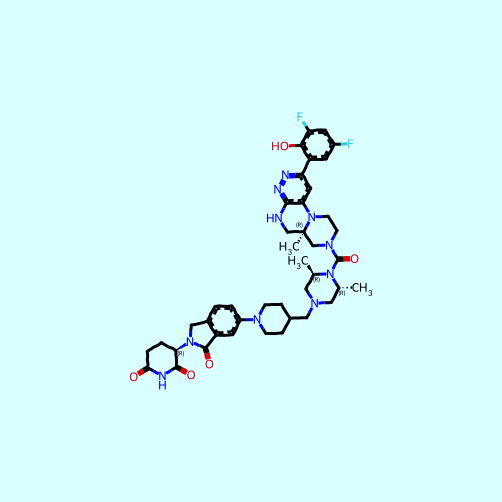 C[C@@H]1CN(CC2CCN(c3ccc4c(c3)C(=O)N([C@@H]3CCC(=O)NC3=O)C4)CC2)C[C@@H](C)N1C(=O)N1CCN2c3cc(-c4cc(F)cc(F)c4O)nnc3NC[C@]2(C)C1